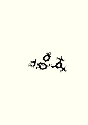 Cc1nnnn1[C@@H]1C[C@]2(c3ccccc3)N[C@H]1CC[C@H]2OCc1cc(C(F)(F)F)cc(C(F)(F)F)c1.Cl